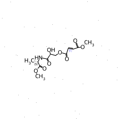 COC(=O)/C=C/C(=O)OCC(O)C(=O)N[C@@H](C)C(=O)OC